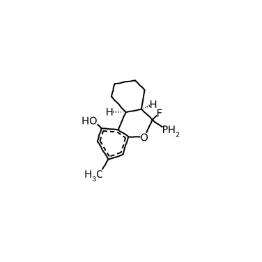 Cc1cc(O)c2c(c1)OC(F)(P)[C@@H]1CCCC[C@H]21